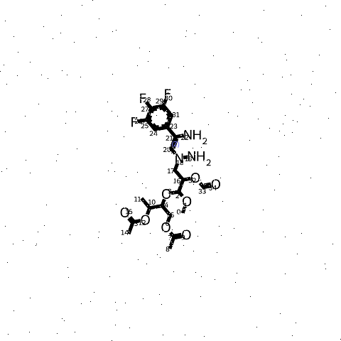 COC(OC(COC(C)=O)C(C)OC(C)=O)C(CN(N)/C=C(\N)c1cc(F)c(F)c(F)c1)OC=O